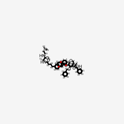 Cc1ccc([C@]23OC[C@](C(C)(C)O)(O2)[C@@H](OCc2ccccc2)[C@H](OCc2ccccc2)[C@H]3OCc2ccccc2)cc1Cc1ccc(CCCC(=O)N[C@H](C)C(=O)NCCN(C)C)cc1